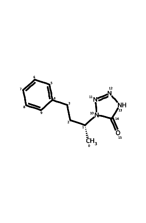 C[C@H](CCc1ccccc1)n1nn[nH]c1=O